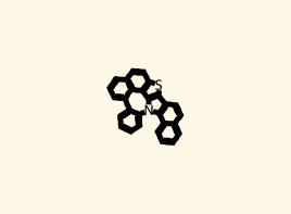 c1ccc2c(c1)ccc1c3sc4ccc5cccc6c7ccccc7n(c21)c3c4c56